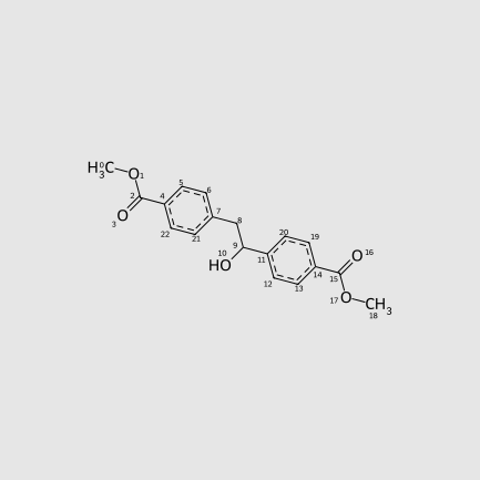 COC(=O)c1ccc(CC(O)c2ccc(C(=O)OC)cc2)cc1